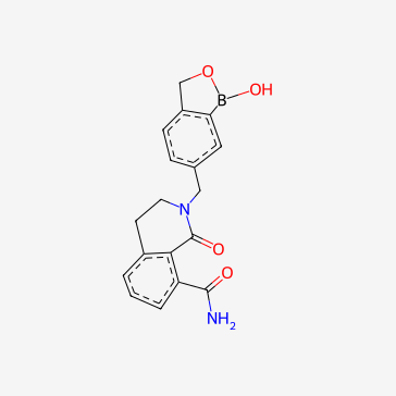 NC(=O)c1cccc2c1C(=O)N(Cc1ccc3c(c1)B(O)OC3)CC2